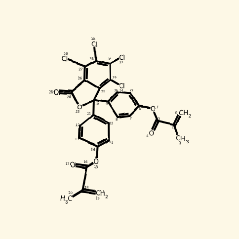 C=C(C)C(=O)Oc1ccc(C2(c3ccc(OC(=O)C(=C)C)cc3)OC(=O)c3c(Cl)c(Cl)c(Cl)c(Cl)c32)cc1